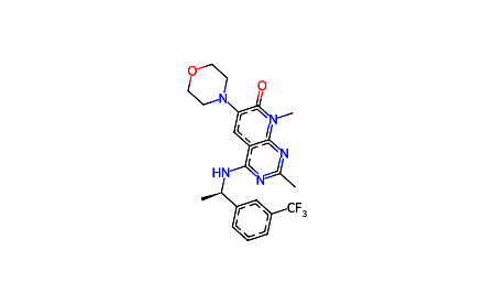 Cc1nc(N[C@H](C)c2cccc(C(F)(F)F)c2)c2cc(N3CCOCC3)c(=O)n(C)c2n1